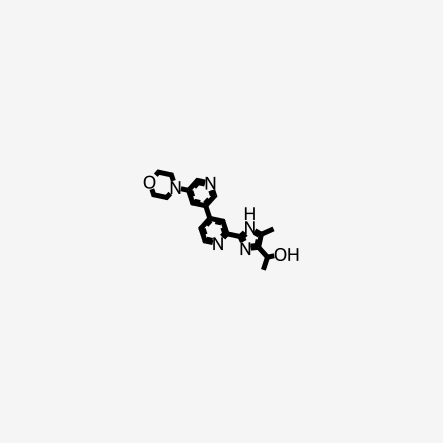 Cc1[nH]c(-c2cc(-c3cncc(N4CCOCC4)c3)ccn2)nc1C(C)O